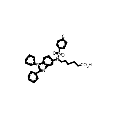 O=C(O)CCCCCN(c1ccc2c(c1)nc(-c1ccccc1)n2-c1ccccc1)S(=O)(=O)c1ccc(Cl)cc1